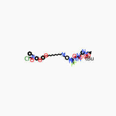 CN(CCCCCCCCCCOc1ccc(Oc2ccc(N(Cc3ccccc3)C(=O)CCl)cc2)cc1)CC1CCC(n2cc(NC(=O)c3coc(-c4ccnc(N(CC5CC5)C(=O)OC(C)(C)C)c4)n3)c(C(F)F)n2)CC1